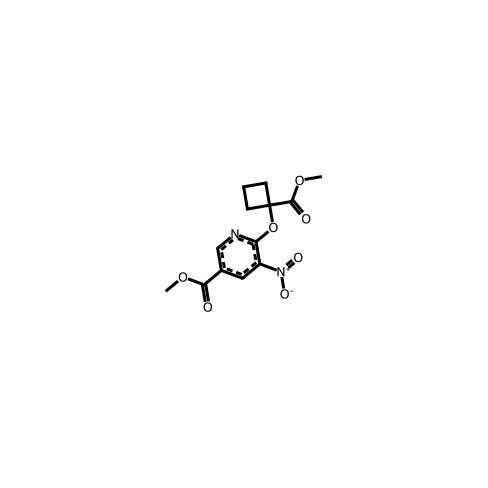 COC(=O)c1cnc(OC2(C(=O)OC)CCC2)c([N+](=O)[O-])c1